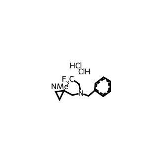 CNC1(CN(Cc2ccccc2)CC(F)(F)F)CC1.Cl.Cl